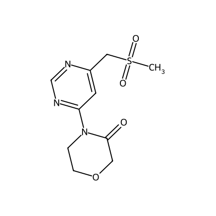 CS(=O)(=O)Cc1cc(N2CCOCC2=O)ncn1